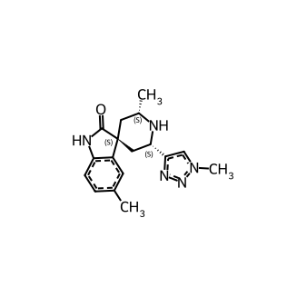 Cc1ccc2c(c1)[C@]1(C[C@@H](c3cn(C)nn3)N[C@@H](C)C1)C(=O)N2